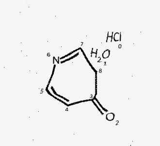 Cl.O.O=C1C=CN=CC1